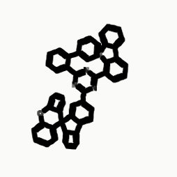 c1ccc(-c2ccccc2-c2nc(-c3ccc4c(c3)C3(c5ccccc5Oc5ccccc53)c3ccccc3-4)nc(-c3cccc4c3oc3ccccc34)n2)cc1